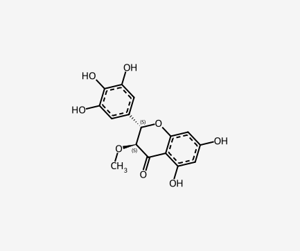 CO[C@@H]1C(=O)c2c(O)cc(O)cc2O[C@H]1c1cc(O)c(O)c(O)c1